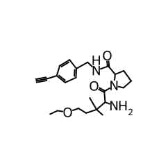 C#Cc1ccc(CNC(=O)C2CCCN2C(=O)C(N)C(C)(C)CCOCC)cc1